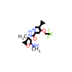 CNC(=O)C[C@@](C)(NC(=O)c1cc(OCC(F)(F)F)c(C2CC2)cn1)C1CC1